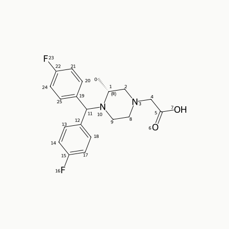 C[C@@H]1CN(CC(=O)O)CCN1C(c1ccc(F)cc1)c1ccc(F)cc1